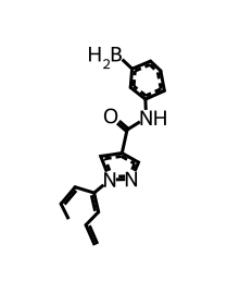 Bc1cccc(NC(=O)c2cnn(C(/C=C\C)=C/C=C)c2)c1